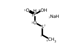 CCSO[PH](=O)O.[NaH]